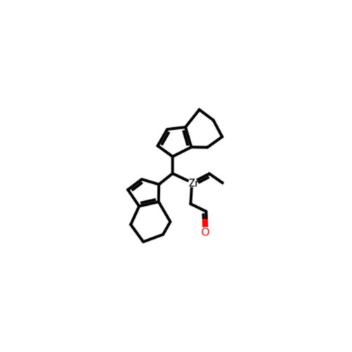 C[CH]=[Zr]([CH2]C=O)[CH](C1C=CC2=C1CCCC2)C1C=CC2=C1CCCC2